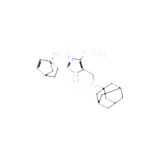 O=C(O)c1nc([C@@H]2CC3C=C[C@H]2C3)[nH]c1COC12CC3CC(CC(C3)C1)C2